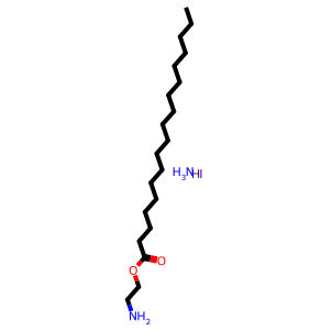 CCCCCCCCCCCCCCCCCC(=O)OCCN.I.N